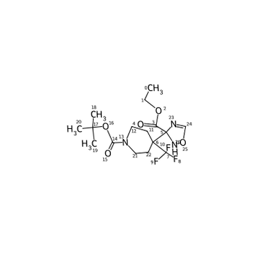 CCOC(=O)C1(C2(C(F)(F)F)CCN(C(=O)OC(C)(C)C)CC2)N=CON1